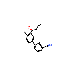 CCCC(=O)c1cc(-c2cccc(C#N)c2)ccc1C